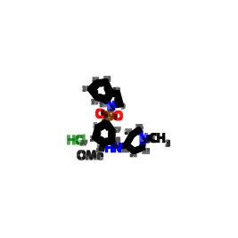 COc1ccc(S(=O)(=O)n2ccc3ccccc32)cc1NC1CCN(C)CC1.Cl